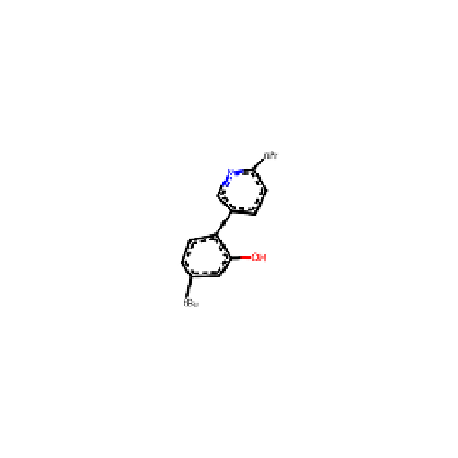 CCCc1ccc(-c2ccc(C(C)(C)C)cc2O)cn1